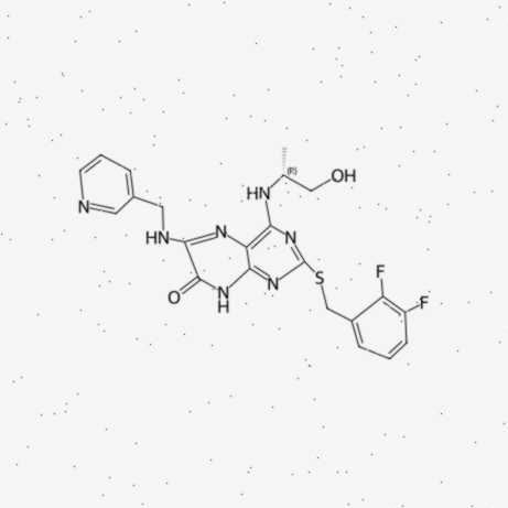 C[C@H](CO)Nc1nc(SCc2cccc(F)c2F)nc2[nH]c(=O)c(NCc3cccnc3)nc12